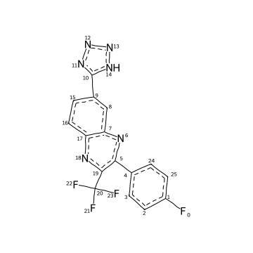 Fc1ccc(-c2nc3cc(-c4nnn[nH]4)ccc3nc2C(F)(F)F)cc1